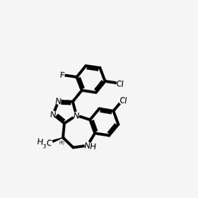 C[C@@H]1CNc2ccc(Cl)cc2-n2c(-c3cc(Cl)ccc3F)nnc21